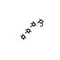 CC1=CC(=O)C2=C(OCCC2)[C@@]1(O)C(=O)Oc1c(C)c(C)c(C(=O)Oc2cc(C)c(C(=O)Oc3c(C)c(C)c(C(=O)O)c(C)c3C)c(C)c2C)c(O)c1Br